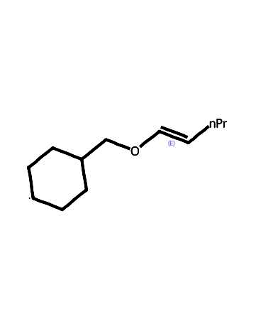 CCC/C=C/OCC1CC[CH]CC1